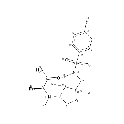 CC(C)[C@@H](C(N)=O)N(C)[C@H]1CC[C@@H]2CN(S(=O)(=O)c3ccc(F)cc3)C[C@@H]21